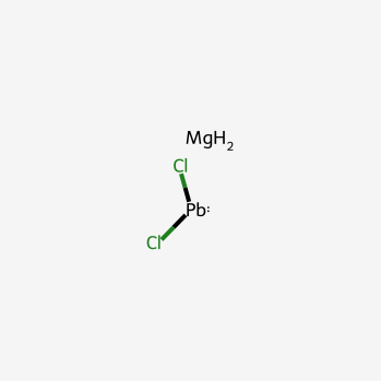 [Cl][Pb][Cl].[MgH2]